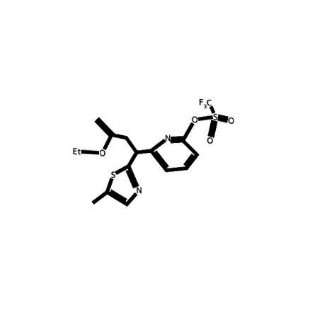 C=C(CC(c1cccc(OS(=O)(=O)C(F)(F)F)n1)c1ncc(C)s1)OCC